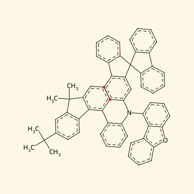 CC(C)(C)c1ccc2c(c1)C(C)(C)c1cccc(-c3ccccc3N(c3ccc4c(c3)C3(c5ccccc5-c5ccccc53)c3ccccc3-4)c3cccc4oc5ccccc5c34)c1-2